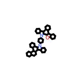 c1ccc2c(c1)ccc1c2c2ccccc2c2c1c1ccccc1n2-c1ccc(-n2c3ccccc3c3c4ccccc4c4c5ccccc5oc4c32)cc1